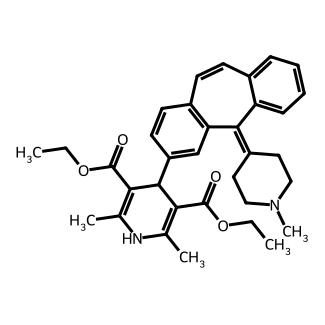 CCOC(=O)C1=C(C)NC(C)=C(C(=O)OCC)C1c1ccc2c(c1)C(=C1CCN(C)CC1)c1ccccc1C=C2